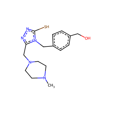 CN1CCN(Cc2nnc(S)n2Cc2ccc(CO)cc2)CC1